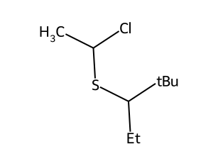 CCC(SC(C)Cl)C(C)(C)C